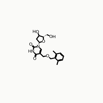 Cc1cccc(C)c1COCc1cn([C@@H]2CC(O)[C@H](CO)O2)c(=O)[nH]c1=O